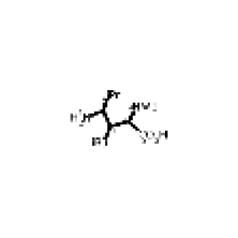 CCC(C)C(C(NC)C(=O)O)C(N)C(C)C